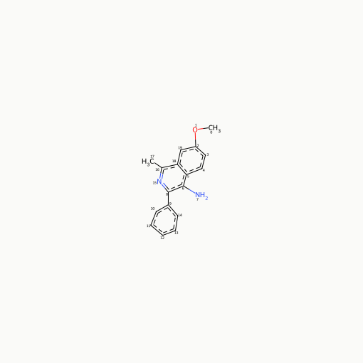 COc1ccc2c(N)c(-c3ccccc3)nc(C)c2c1